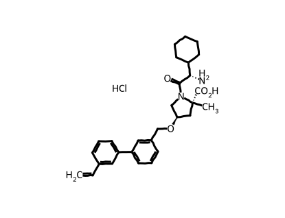 C=Cc1cccc(-c2cccc(CO[C@H]3CN(C(=O)[C@@H](N)C4CCCCC4)[C@](C)(C(=O)O)C3)c2)c1.Cl